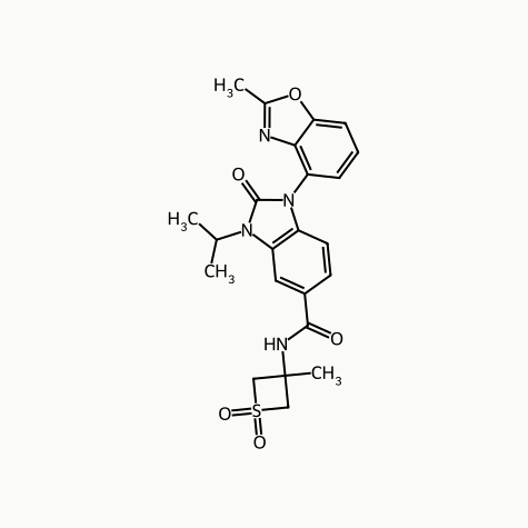 Cc1nc2c(-n3c(=O)n(C(C)C)c4cc(C(=O)NC5(C)CS(=O)(=O)C5)ccc43)cccc2o1